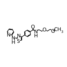 COCCOCCNC(=O)c1ccc(-c2csc(Nc3ccccn3)n2)cc1